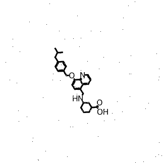 CC(C)Cc1ccc(COc2ccc(CNC3CCCC(C(=O)O)C3)c3cccnc23)cc1